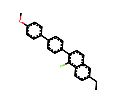 CCc1ccc2c(F)c(-c3ccc(-c4ccc(OC)cc4)cc3)ccc2c1